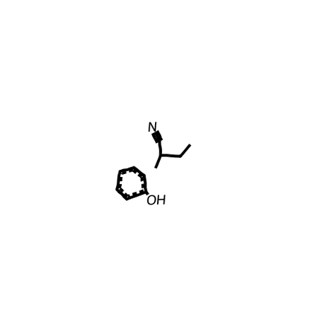 CCC(C)C#N.Oc1ccccc1